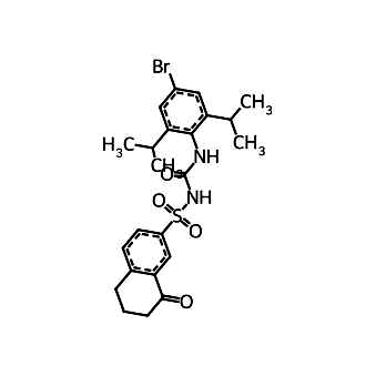 CC(C)c1cc(Br)cc(C(C)C)c1NC(=O)NS(=O)(=O)c1ccc2c(c1)C(=O)CCC2